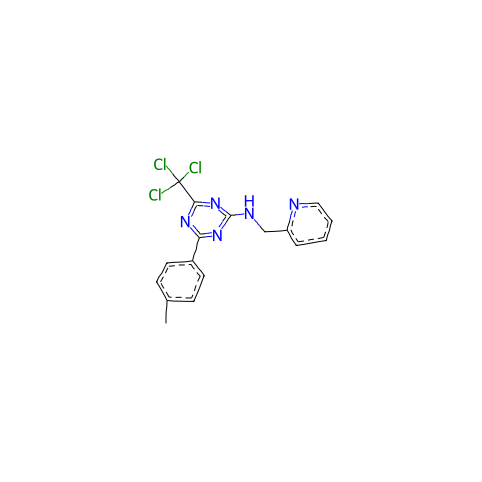 Cc1ccc(-c2nc(NCc3ccccn3)nc(C(Cl)(Cl)Cl)n2)cc1